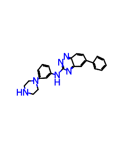 c1ccc(-c2ccc3nnc(Nc4cccc(N5CCNCC5)c4)nc3c2)cc1